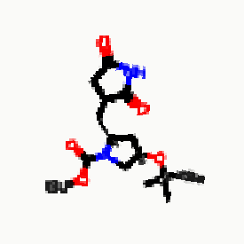 CC(C)(C)OC(=O)N1C[C@H](O[Si](C)(C)C(C)(C)C)C[C@H]1CC1CC(=O)NC1=O